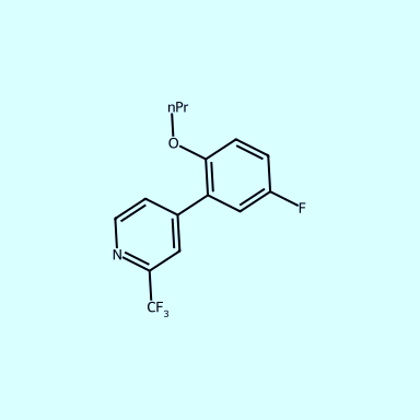 CCCOc1ccc(F)cc1-c1ccnc(C(F)(F)F)c1